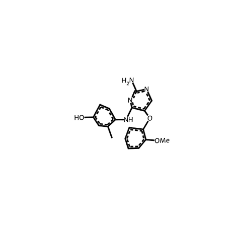 COc1ccccc1Oc1cnc(N)nc1Nc1ccc(O)cc1C